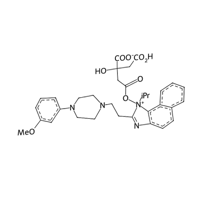 COc1cccc(N2CCN(CCC3=Nc4ccc5ccccc5c4[N+]3(OC(=O)CC(O)(CC(=O)O)C(=O)[O-])C(C)C)CC2)c1